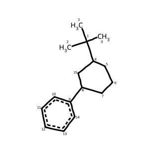 CC(C)(C)C1CCCC(c2ccccc2)C1